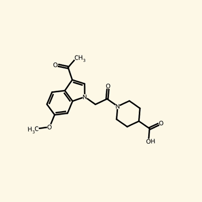 COc1ccc2c(C(C)=O)cn(CC(=O)N3CCC(C(=O)O)CC3)c2c1